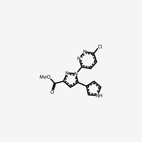 COC(=O)c1cc(-c2cc[nH]c2)n(-c2ccc(Cl)nn2)n1